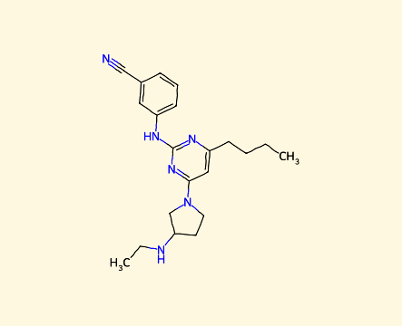 CCCCc1cc(N2CCC(NCC)C2)nc(Nc2cccc(C#N)c2)n1